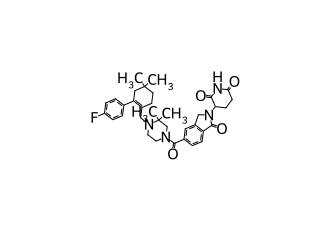 CC1(C)CCC(CN2CCN(C(=O)c3ccc4c(c3)CN(C3CCC(=O)NC3=O)C4=O)CC2(C)C)=C(c2ccc(F)cc2)C1